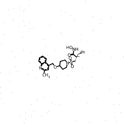 Cc1cc(COC2CCN(S(=O)(=O)C[C@@H](CC(C)C)C(=O)NO)CC2)c2ccccc2n1